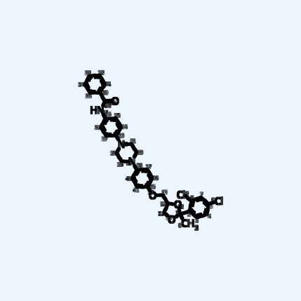 CC1(c2ccc(Cl)cc2Cl)OCC(COc2ccc(N3CCN(c4ccc(NC(=O)c5ccccc5)cc4)CC3)cc2)O1